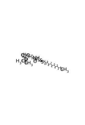 CCCCCCCCCCCCSSCCC(=O)NCCCOC1COCC1OC(C)C